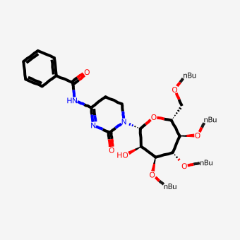 CCCCOC[C@H]1O[C@@H](N2CCC(NC(=O)c3ccccc3)=NC2=O)[C@H](O)[C@H](OCCCC)[C@@H](OCCCC)[C@@H]1OCCCC